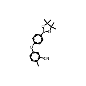 Cc1ccc(Oc2ccc(B3OC(C)(C)C(C)(C)O3)cc2)cc1C#N